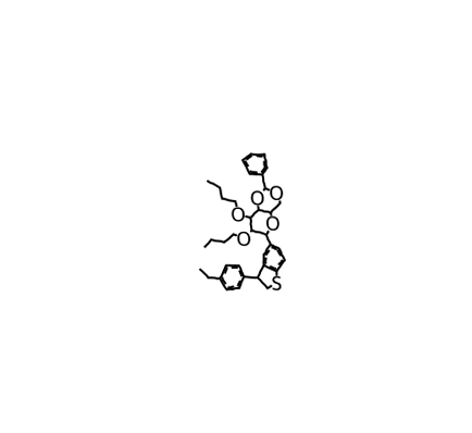 CCCCOC1C(c2ccc3c(c2)C(c2ccc(CC)cc2)CS3)OC2COC(c3ccccc3)OC2C1OCCCC